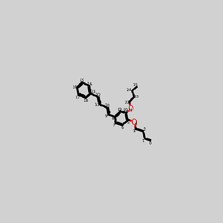 CCCCOc1ccc(/C=C/C=C/c2ccccc2)cc1OCCCC